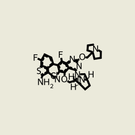 N#Cc1c(N)sc2c(F)ccc(-c3c(Cl)c4c5c(nc(OCC67CCCN6CCC7)nc5c3F)N3C[C@H]5CC[C@H](N5)[C@@H]3CO4)c12